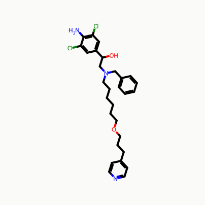 Nc1c(Cl)cc(C(O)CN(CCCCCCOCCCc2ccncc2)Cc2ccccc2)cc1Cl